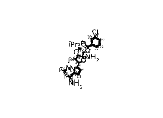 CC(C)C(=O)O[C@H]1[C@@H](F)[C@H](c2ccc3c(N)nc(F)nn23)O[C@]1(N)COC(=O)c1cccc(Cl)c1